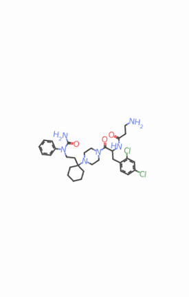 NCCC(=O)NC(Cc1ccc(Cl)cc1Cl)C(=O)N1CCN(C2(CCN(C(N)=O)c3ccccc3)CCCCC2)CC1